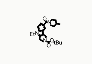 CCn1c2c(c3cc(C(=O)N4CCC(C)CC4)ccc31)CN(C(=O)OC(C)(C)C)CC2